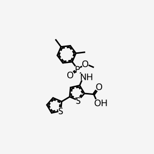 COP(=O)(Nc1cc(-c2cccs2)sc1C(=O)O)c1ccc(C)cc1C